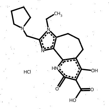 CCn1c(CN2CCCC2)nc2c1CCCc1c-2[nH]c(=O)c(C(=O)O)c1O.Cl